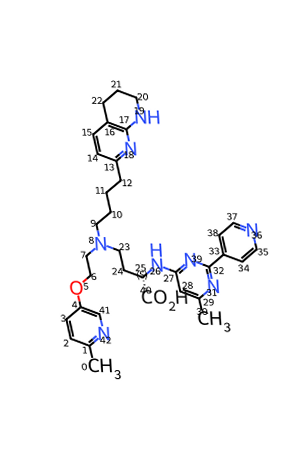 Cc1ccc(OCCN(CCCCc2ccc3c(n2)NCCC3)CC[C@H](Nc2cc(C)nc(-c3ccncc3)n2)C(=O)O)cn1